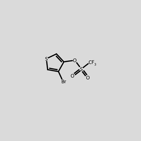 O=S(=O)(Oc1cscc1Br)C(F)(F)F